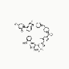 Cc1cc(C(=O)N2CCC(CN3CCC(n4c(C)cc5c(N6CCC(=O)NC6=O)cccc54)CC3)CC2)ccc1[C@@H]1CN(c2cc(-c3ccccc3O)nnc2N)C[C@@H](C)O1